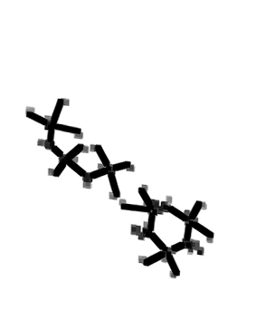 C[N+]1(C)[SiH2][N+](C)(C)[SiH2][N+](C)(C)[SiH2]1.C[Si](C)(C)O[Si](C)(C)O[Si](C)(C)C